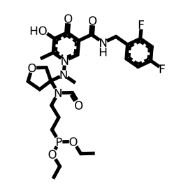 CCOP(CCCN(C=O)C1(N(C)n2cc(C(=O)NCc3ccc(F)cc3F)c(=O)c(O)c2C)CCOC1)OCC